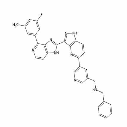 Cc1cc(F)cc(-c2nccc3[nH]c(-c4n[nH]c5ccc(-c6cncc(CNCc7ccccc7)c6)nc45)nc23)c1